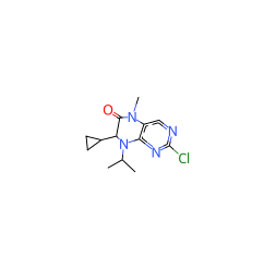 CC(C)N1c2nc(Cl)ncc2N(C)C(=O)C1C1CC1